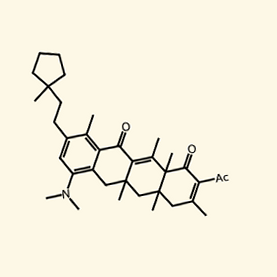 CC(=O)C1=C(C)CC2(C)CC3(C)Cc4c(N(C)C)cc(CCC5(C)CCCC5)c(C)c4C(=O)C3=C(C)C2(C)C1=O